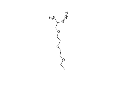 CCOCCOCCOCC(N)N=[N+]=[N-]